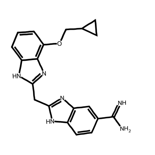 N=C(N)c1ccc2[nH]c(Cc3nc4c(OCC5CC5)cccc4[nH]3)nc2c1